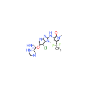 Cn1cc(C(F)(F)C(F)(F)F)cc(Nc2nc3ncc(O/C(C=N)=C4\C=NC=CN4)c(Cl)c3n2C)c1=O